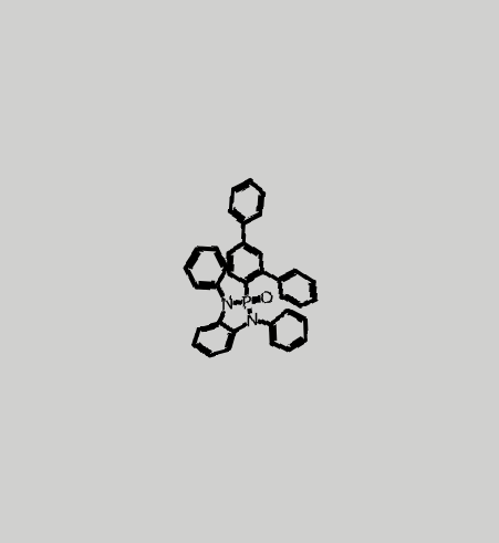 O=P1(c2ccc(-c3ccccc3)cc2-c2ccccc2)N(c2ccccc2)c2ccccc2N1c1ccccc1